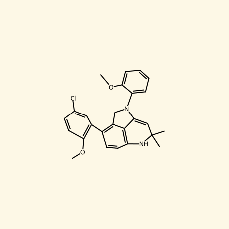 COc1ccc(Cl)cc1-c1ccc2c3c1CN(c1ccccc1OC)C3=CC(C)(C)N2